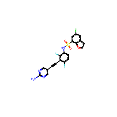 Nc1ncc(C#Cc2c(F)ccc(NS(=O)(=O)c3cc(Cl)cc4ccoc34)c2F)cn1